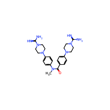 CN(C(=O)c1ccc(N2CCN(C(=N)N)CC2)cc1)c1ccc(N2CCN(C(=N)N)CC2)cc1